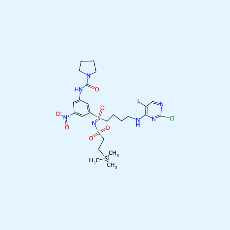 C[Si](C)(C)CCS(=O)(=O)N=S(=O)(CCCCNc1nc(Cl)ncc1I)c1cc(NC(=O)N2CCCC2)cc([N+](=O)[O-])c1